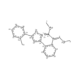 CO/C=C(/C(=O)OC)c1ccccc1-c1cc(-c2ccccc2C)on1